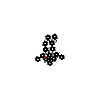 c1ccc(Oc2cccc(-c3ccc4c(c3)B3c5cc(-c6cccc(Oc7ccccc7)c6)ccc5N(c5ccc(-c6ccccc6)cc5)c5cc(C6(c7ccccc7)c7ccccc7-c7ccccc76)cc(c53)N4c3ccc(-c4ccccc4)cc3)c2)cc1